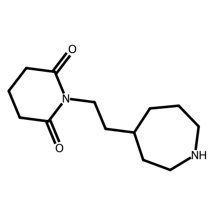 O=C1CCCC(=O)N1CCC1CCCNCC1